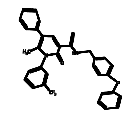 Cc1c(-c2ccccc2)cc(C(=O)NCc2ccc(Oc3ccccc3)cc2)c(=O)n1-c1cccc(C(F)(F)F)c1